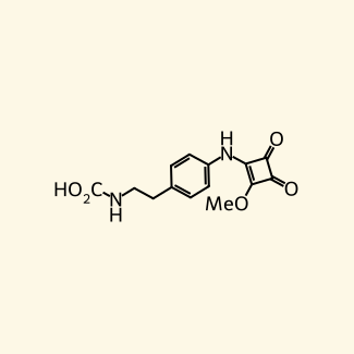 COc1c(Nc2ccc(CCNC(=O)O)cc2)c(=O)c1=O